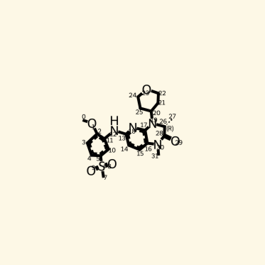 COc1ccc(S(C)(=O)=O)cc1Nc1ccc2c(n1)N(C1CCOCC1)[C@H](C)C(=O)N2C